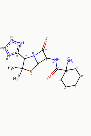 CC1(C)SC2C(NC(=O)C3(N)CCCCC3)C(=O)N2C1c1nnn[nH]1